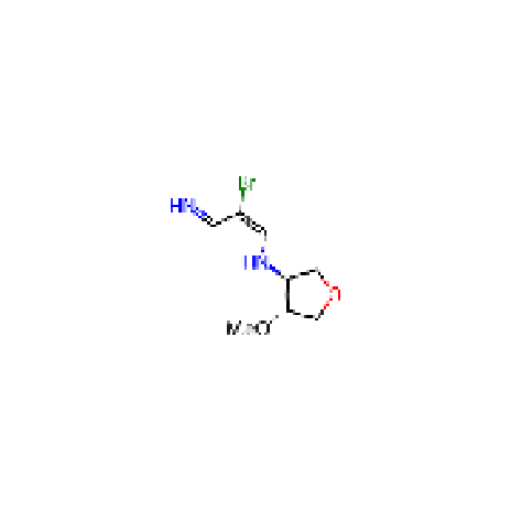 CO[C@H]1COC[C@@H]1N/C=C(/Br)C=N